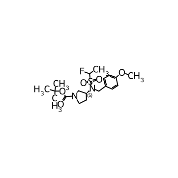 COc1ccc(CN([C@H]2CCN(C(=O)OC(C)(C)C)C2)S(=O)(=O)C(C)F)cc1